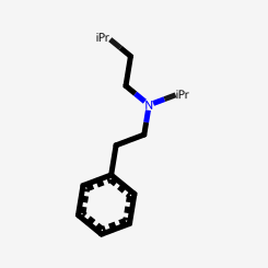 CC(C)CCN(CCc1ccccc1)C(C)C